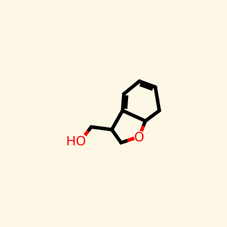 OCC1COC2CC=CC=C12